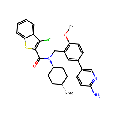 CCOc1ccc(-c2ccc(N)nc2)cc1CN(C(=O)c1sc2ccccc2c1Cl)[C@H]1CC[C@H](NC)CC1